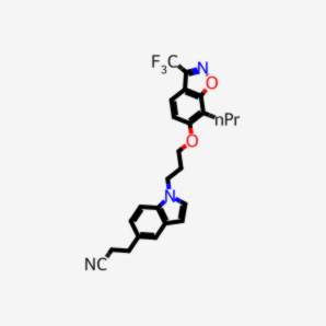 CCCc1c(OCCCn2ccc3cc(CCC#N)ccc32)ccc2c(C(F)(F)F)noc12